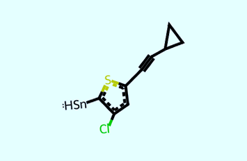 Clc1cc(C#CC2CC2)s[c]1[SnH]